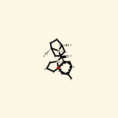 Cc1ccc([C@H]2C[C@H]3CC[C@@H](C2)N3C(=O)N2CCCC2)cc1